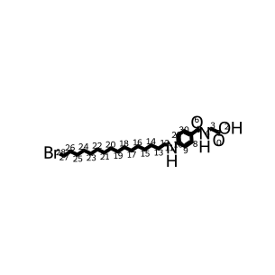 O=C(O)CNC(=O)c1ccc(NCCCCCCCCCCCCCCCCBr)cc1